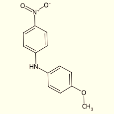 COc1ccc(Nc2ccc([N+](=O)[O-])cc2)cc1